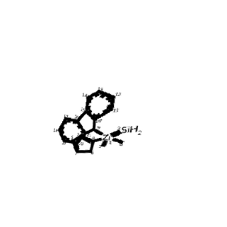 [CH3][Zr]([CH3])(=[SiH2])([C]1=CC=CC1)[CH]1c2ccccc2-c2ccccc21